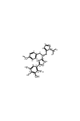 COc1ccc(CN(Cc2ccnn2C(C)C)c2noc(-c3cc(F)c(F)c(O)c3F)n2)cc1